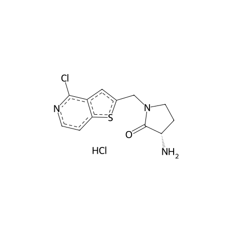 Cl.N[C@H]1CCN(Cc2cc3c(Cl)nccc3s2)C1=O